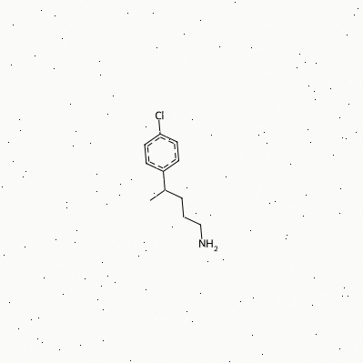 CC(CCCN)c1ccc(Cl)cc1